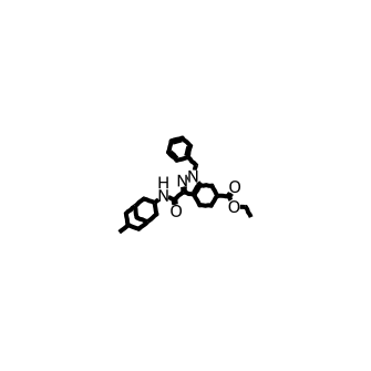 CCOC(=O)C1CCc2c(C(=O)NC3CC4CC(C)CC(C4)C3)nn(Cc3ccccc3)c2C1